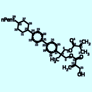 C=C(C)C(=O)OCC(C)(COC(=O)C(=C)CO)c1ccc(-c2ccc(C3CCC(CCCCC)CC3)cc2)cc1